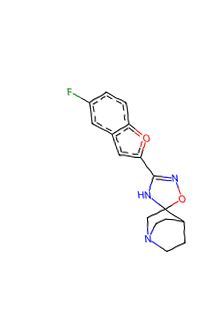 Fc1ccc2oc(C3=NOC4(CN5CCC4CC5)N3)cc2c1